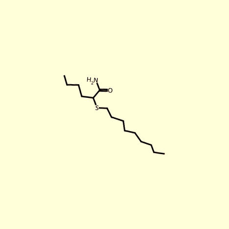 CCCCCCCCCSC(CCCC)C(N)=O